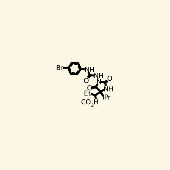 CCC(C(=O)O)C1(C(C)C)NC(=O)N(NC(=O)Nc2ccc(Br)cc2)C1=O